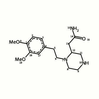 COc1ccc(CCN2CCNCC2CC(N)=O)cc1OC